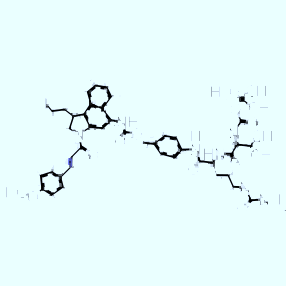 COc1ccc(/C=C/C(=O)N2CC(CCI)c3c2cc(NC(=O)OCc2ccc(NC(=O)[C@H](CCCNC(N)=O)NC(=O)[C@@H](NC(=O)OC(C)(C)C)C(C)C)cc2)c2ccccc32)cc1